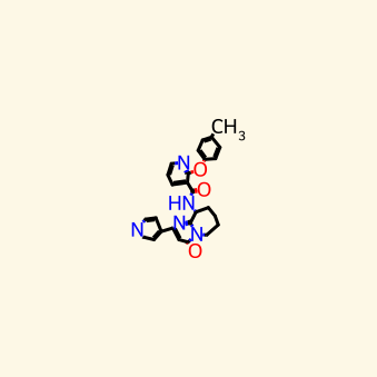 Cc1ccc(Oc2ncccc2C(=O)NC2CCCCn3c2nc(-c2ccncc2)cc3=O)cc1